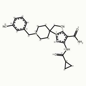 N#CCC1(n2cc(C(N)=O)c(NC(=O)C3CC3)n2)CCN(Cc2cccc(C#N)c2)CC1